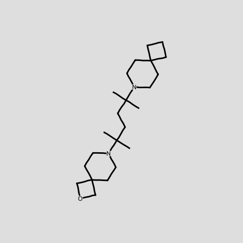 CC(C)(CCC(C)(C)N1CCC2(CC1)COC2)N1CCC2(CCC2)CC1